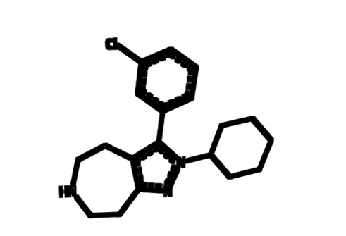 Clc1cccc(-c2c3c(nn2C2CCCCC2)CCNCC3)c1